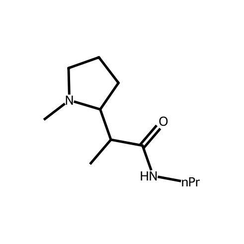 CCCNC(=O)C(C)C1CCCN1C